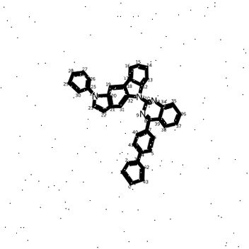 c1ccc(-c2ccc(-c3nc(-n4c5ccccc5c5cc6c(ccn6-c6ccccc6)cc54)nc4ccccc34)cc2)cc1